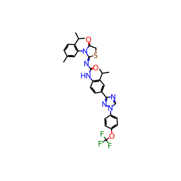 Cc1ccc(C(C)C)c(N2C(=O)CSC2=NC(=O)Nc2ccc(-c3ncn(-c4ccc(OC(F)(F)F)cc4)n3)cc2C(C)C)c1